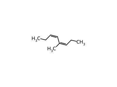 CC/C=C\C(C)=C/CC